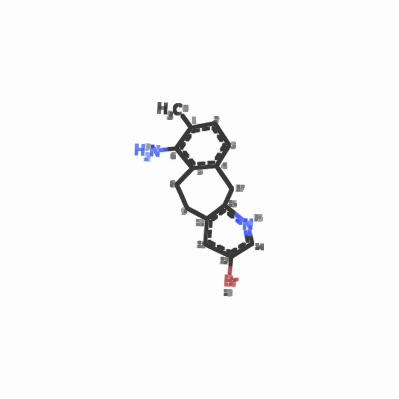 Cc1ccc2c(c1N)CCc1cc(Br)cnc1C2